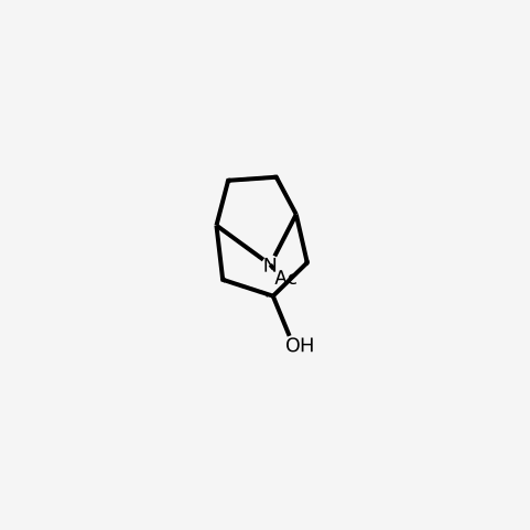 CC(=O)N1C2CCC1C[C](O)C2